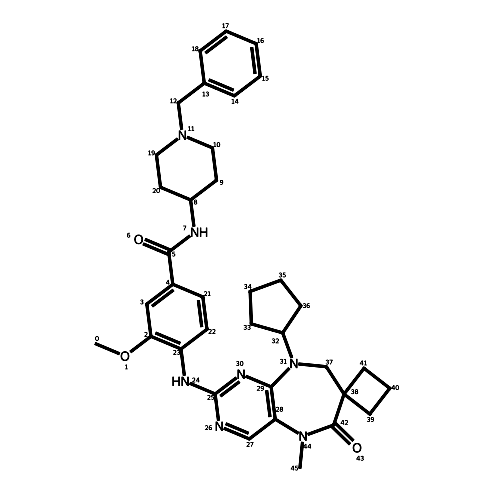 COc1cc(C(=O)NC2CCN(Cc3ccccc3)CC2)ccc1Nc1ncc2c(n1)N(C1CCCC1)CC1(CCC1)C(=O)N2C